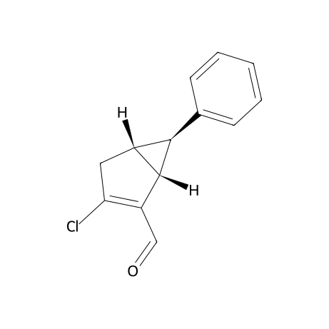 O=CC1=C(Cl)C[C@H]2[C@@H]1[C@@H]2c1ccccc1